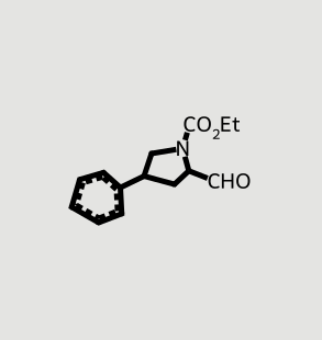 CCOC(=O)N1CC(c2ccccc2)CC1C=O